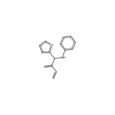 C=CC(=C)C(Nc1ccccc1)c1ccco1